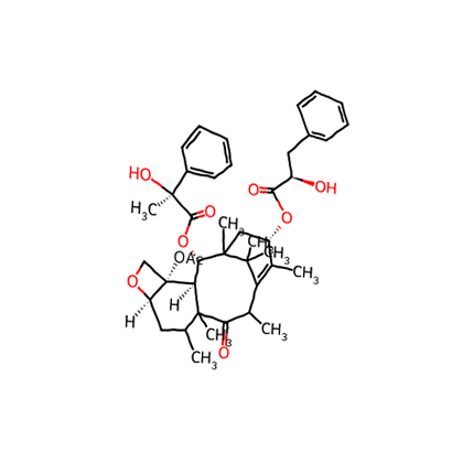 CC(=O)O[C@@]12CO[C@@H]1CC(C)C1(C)C(=O)C(C)C3=C(C)[C@@H](OC(=O)[C@H](O)Cc4ccccc4)CC(C)([C@@H](OC(=O)[C@@](C)(O)c4ccccc4)[C@@H]12)C3(C)C